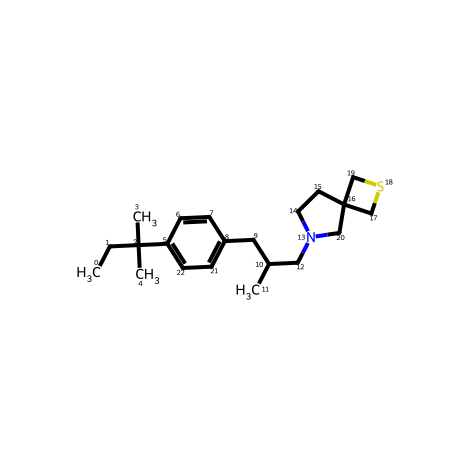 CCC(C)(C)c1ccc(CC(C)CN2CCC3(CSC3)C2)cc1